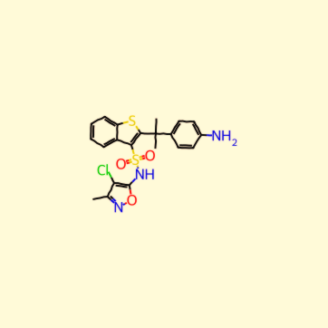 Cc1noc(NS(=O)(=O)c2c(C(C)(C)c3ccc(N)cc3)sc3ccccc23)c1Cl